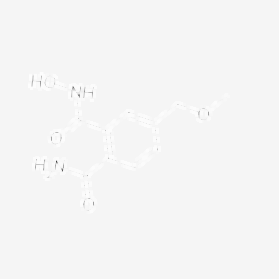 COCc1ccc(C(N)=O)c(C(=O)NO)c1